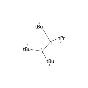 CCCC([C](C(C)(C)C)C(C)(C)C)C(C)(C)C